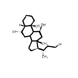 CC[C@H]1CC2C3CC[C@H]([C@@H](C)CCO)C3(C)C[C@H](O)C2[C@@]2(C)CCCC[C@@H]12